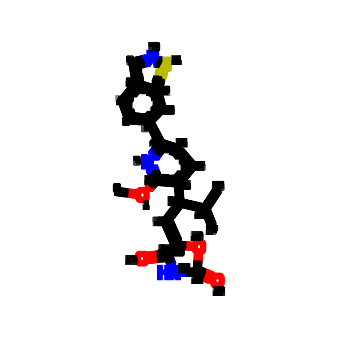 COc1nc(-c2ccc3cnsc3c2)ccc1C(C=C1OC(=O)NC1=O)C(C)C